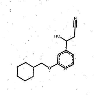 N#CCC(O)c1ccnc(OCC2CCCCC2)c1